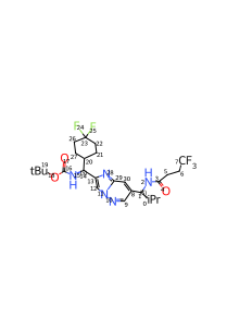 CC(C)[C@H](NC(=O)CCC(F)(F)F)c1cnn2cc([C@@H](NC(=O)OC(C)(C)C)C3CCC(F)(F)CC3)nc2c1